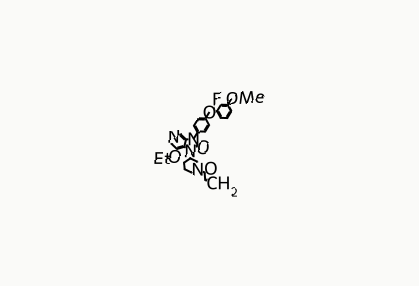 C=CC(=O)N1CCC[C@@H](n2c(=O)n(-c3ccc(Oc4cccc(OC)c4F)cc3)c3cncc(OCC)c32)C1